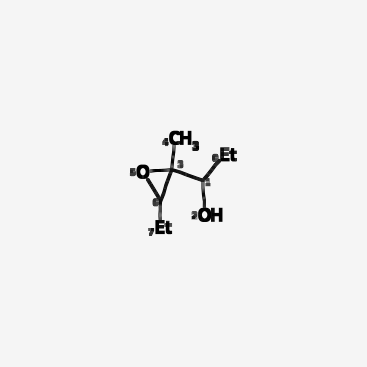 CCC(O)C1(C)OC1CC